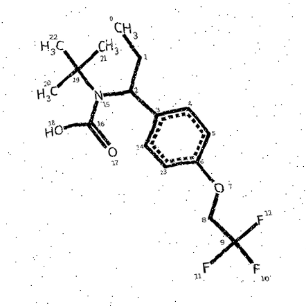 CCC(c1ccc(OCC(F)(F)F)cc1)N(C(=O)O)C(C)(C)C